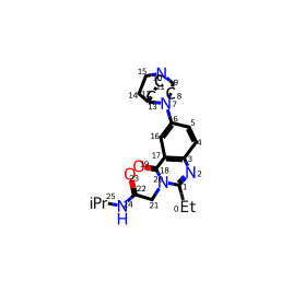 CCc1nc2ccc(N3CCN4CCC3CC4)cc2c(=O)n1CC(=O)NC(C)C